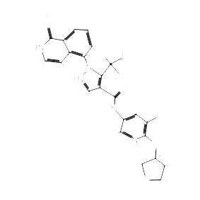 O=C(Nc1cnc(OC2CCOC2)c(Cl)c1)c1cnn(-c2cccc3c(=O)[nH]ccc23)c1C(F)(F)F